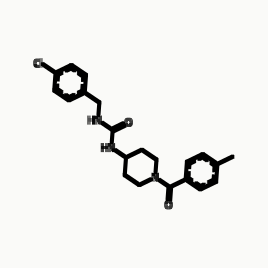 Cc1ccc(C(=O)N2CCC(NC(=O)NCc3ccc(Cl)cc3)CC2)cc1